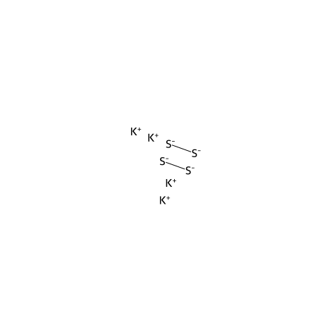 [K+].[K+].[K+].[K+].[S-][S-].[S-][S-]